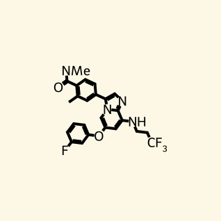 CNC(=O)c1ccc(-c2cnc3c(NCCC(F)(F)F)cc(Oc4cccc(F)c4)cn23)cc1C